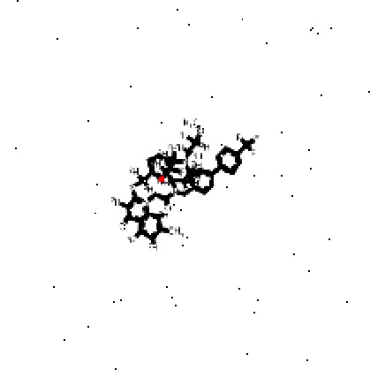 [2H]c1c(C)c([2H])c2c(c1[2H])c(=O)c([2H])c(SC([2H])([2H])c1cccc(F)c1F)n2CC(=O)N(Cc1ccc(-c2ccc(C(F)(F)F)cc2)cc1)C1([2H])C([2H])([2H])C([2H])([2H])N(C([2H])([2H])C([2H])([2H])OC)C([2H])([2H])C1([2H])[2H]